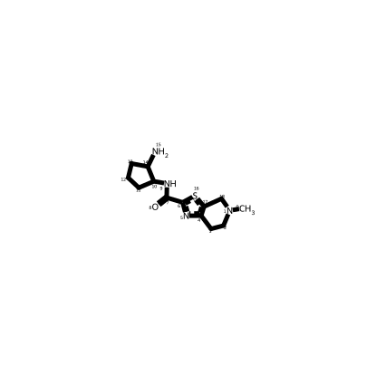 CN1CCc2nc(C(=O)NC3CCCC3N)sc2C1